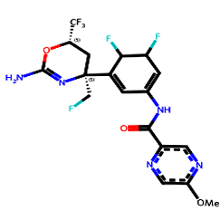 COc1cnc(C(=O)NC2=CC(F)C(F)C([C@]3(CF)C[C@@H](C(F)(F)F)OC(N)=N3)=C2)cn1